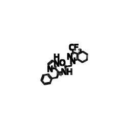 O=C(Cn1nc(C(F)(F)F)c2c1CCCC2)N[C@@H](Cc1ccccc1)c1ncc[nH]1